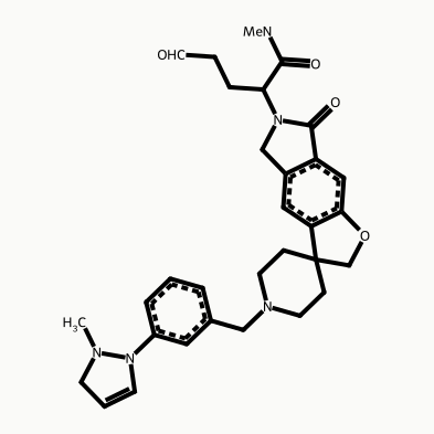 CNC(=O)C(CCC=O)N1Cc2cc3c(cc2C1=O)OCC31CCN(Cc2cccc(N3C=CCN3C)c2)CC1